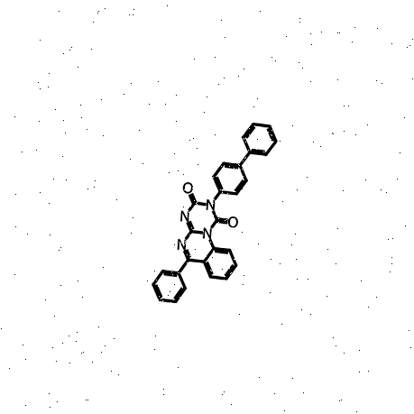 O=c1nc2nc(-c3ccccc3)c3ccccc3n2c(=O)n1-c1ccc(-c2ccccc2)cc1